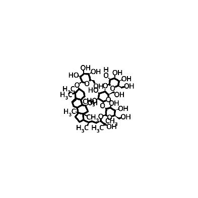 C[C@H](CC[C@@H](O[C@@H]1O[C@H](CO)[C@@H](O)[C@H](O)[C@H]1O[C@@H]1O[C@H](CO)[C@@H](O[C@@H]2O[C@H](CO)[C@@H](O)[C@H](O)[C@H]2O)[C@H](O)[C@H]1O)C(C)(C)O)C1CC[C@@]2(C)C3CC=C4C(CC[C@H](O[C@@H]5O[C@H](CO)[C@@H](O)[C@H](O)[C@H]5O)C4(C)C)[C@]3(C)[C@H](O)C[C@]12C